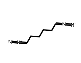 [N-]=[N+]=CCCCCC=[N+]=[N-]